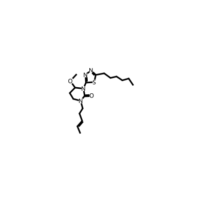 CC=CCCN1CCC(OC)N(c2nnc(CCCCCC)s2)C1=O